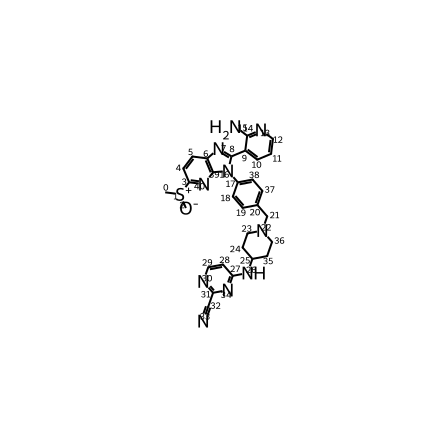 C[S+]([O-])c1ccc2nc(-c3cccnc3N)n(-c3ccc(CN4CCC(Nc5ccnc(C#N)n5)CC4)cc3)c2n1